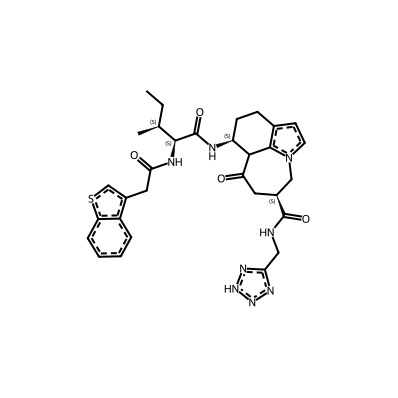 CC[C@H](C)[C@H](NC(=O)Cc1csc2ccccc12)C(=O)N[C@H]1CCc2ccn3c2C1C(=O)C[C@H](C(=O)NCc1nn[nH]n1)C3